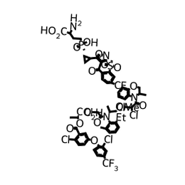 CC1COc2ccccc2N1C(=O)C(Cl)Cl.CCc1cccc(C)c1N(C(=O)CCl)C(C)COC.CP(=O)(O)CCC(N)C(=O)O.CS(=O)(=O)c1cc(C(F)(F)F)ccc1C(=O)c1cnoc1C1CC1.C[C@H](OC(=O)c1cc(Oc2ccc(C(F)(F)F)cc2Cl)ccc1Cl)C(=O)O